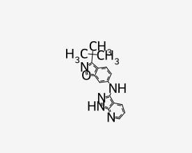 CC(C)(C)c1noc2cc(Nc3n[nH]c4ncccc34)ccc12